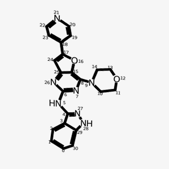 c1ccc2c(Nc3nc(N4CCOCC4)c4oc(-c5ccncc5)cc4n3)n[nH]c2c1